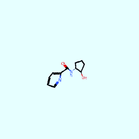 O=C(N[C@@H]1CCC[C@H]1O)c1ccccn1